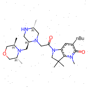 CCCCc1cc2c(n(C)c1=O)C(C)(C)CN2C(=O)CN1C[C@@H](C)NC[C@@H]1CN1[C@H](C)COC[C@H]1C